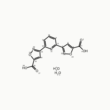 O.O.O=C(O)c1cc(-c2cccc(-c3cc(C(=O)O)on3)n2)no1